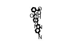 N#Cc1ccc2nc(N3CCN(C(=O)Nc4ccccc4C(=O)O)CC3)cnc2c1